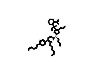 C=C/C=C/N(C1=CC(C(C)(C=C)C2=C(C(=C)C)CCCC2)=C(CC=C)C1)C(C)/C=C\C(=C(/C)CCC/C=C\C)c1ccc(C/C=C\C=C/C)cc1